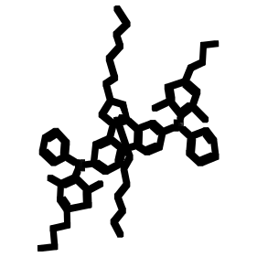 CCCCCCCC1C[C@]23CC(CCCCCCC)C[C@@]2(C1)c1cc(N(c2ccccc2)c2c(C)cc(CCCC)cc2C)ccc1-c1ccc(N(c2ccccc2)c2c(C)cc(CCCC)cc2C)cc13